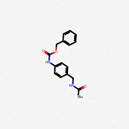 CC(C)(C)C(=O)NCc1ccc(NC(=O)OCc2ccccc2)cc1